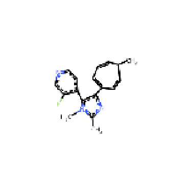 Cc1nc(C2=CC=CC(C)C=C2)c(-c2ccncc2F)n1C